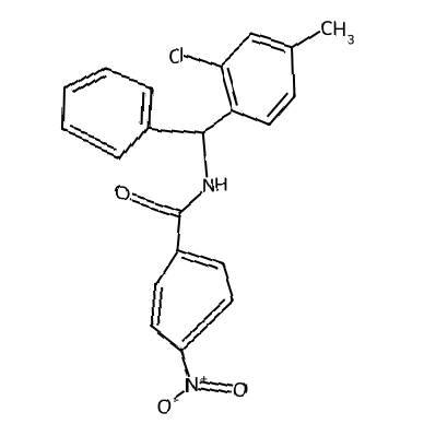 Cc1ccc(C(NC(=O)c2ccc([N+](=O)[O-])cc2)c2ccccc2)c(Cl)c1